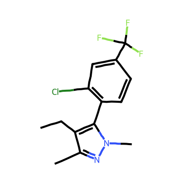 CCc1c(C)nn(C)c1-c1ccc(C(F)(F)F)cc1Cl